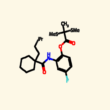 CSC(C)(SC)C(=O)Oc1ccc(F)cc1NC(=O)C1(CCC(C)C)CCCCC1